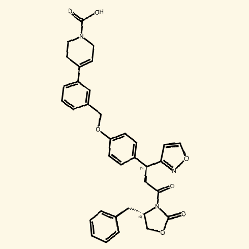 O=C(O)N1CC=C(c2cccc(COc3ccc([C@H](CC(=O)N4C(=O)OC[C@@H]4Cc4ccccc4)c4ccon4)cc3)c2)CC1